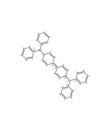 C1=CC(N(c2ccccc2)c2ccccc2)C=CC1=C1C=CN(C(c2ccccc2)c2ccccc2)C=C1